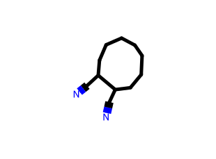 N#CC1CCCCCCCC1C#N